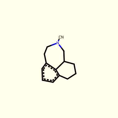 N#CN1CCc2cccc3c2C(CCC3)C1